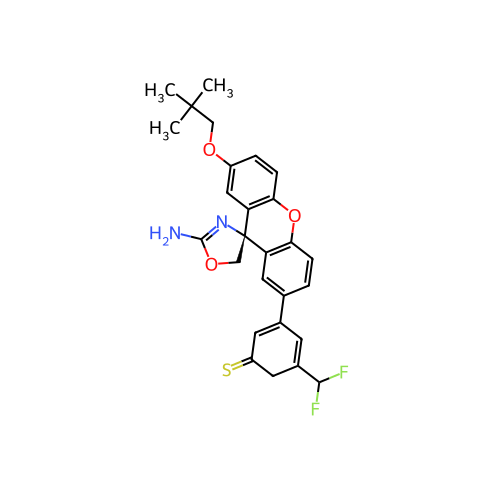 CC(C)(C)COc1ccc2c(c1)[C@]1(COC(N)=N1)c1cc(C3=CC(=S)CC(C(F)F)=C3)ccc1O2